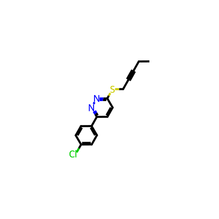 CCC#CCSc1ccc(-c2ccc(Cl)cc2)nn1